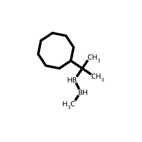 CBBC(C)(C)C1CCCCCCC1